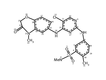 CNS(=O)(=O)c1cc(Nc2ncc(Cl)c(Nc3ccc4c(c3)N(C)C(=O)CO4)n2)ccc1C